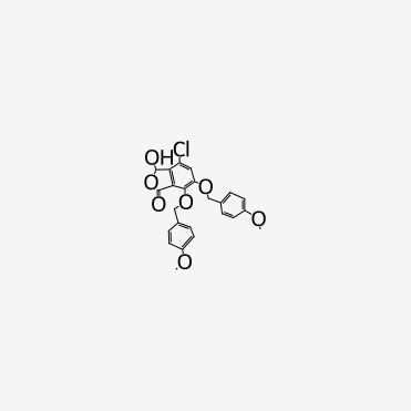 COc1ccc(COc2cc(Cl)c3c(c2OCc2ccc(OC)cc2)C(=O)OC3O)cc1